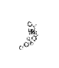 Cc1ccc(S(=O)(=O)c2ccc(Cl)cc2)cc1S(=O)(=O)NC[C@H](C)c1ccccc1